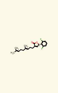 CC(C)=CCC/C(C)=C/CCC1=C[C@H](c2c(F)cccc2F)OC1=O